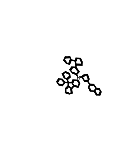 c1ccc(-c2ccccc2-c2cccc(N(c3cccc(-c4ccc5ccccc5c4)c3)c3ccc4c(c3)C(c3ccccc3)(c3ccccc3)c3ccccc3-4)c2)cc1